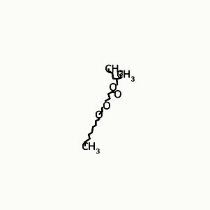 CCCCCCCCCOCCOCCCC(=O)OCC(CC)CCCC